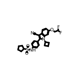 N#Cc1c(-c2ccc(NS(=O)(=O)C3CCCC3)cc2)n(C2CCC2)c2cc(OCC(F)F)ccc12